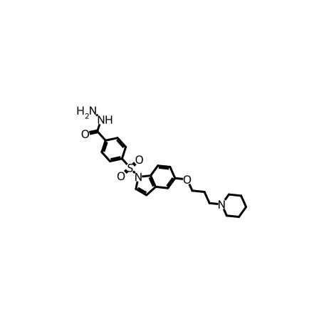 NNC(=O)c1ccc(S(=O)(=O)n2ccc3cc(OCCCN4CCCCC4)ccc32)cc1